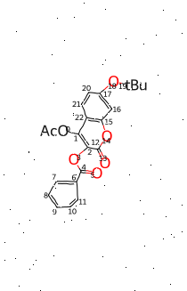 CC(=O)Oc1c(OC(=O)c2ccccc2)c(=O)oc2cc(OC(C)(C)C)ccc12